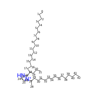 CCCCCCCCCCCCCCCCCCC(CCC)c1[nH]cc[n+]1C(C)CCCCCCCCCCCCCC